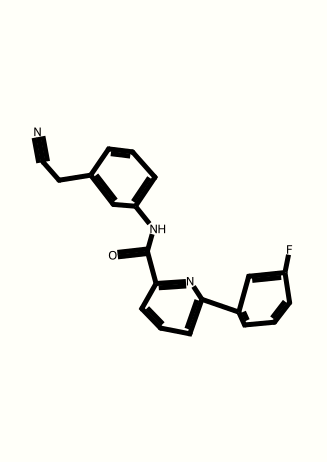 N#CCc1cccc(NC(=O)c2cccc(-c3cccc(F)c3)n2)c1